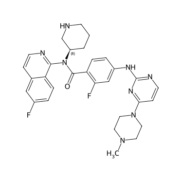 CN1CCN(c2ccnc(Nc3ccc(C(=O)N(c4nccc5cc(F)ccc45)[C@@H]4CCCNC4)c(F)c3)n2)CC1